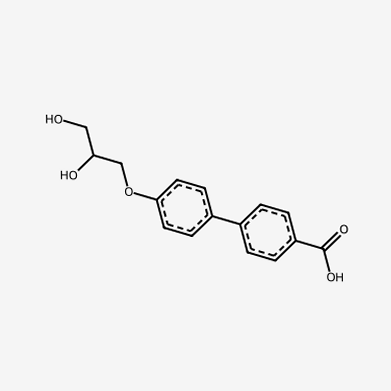 O=C(O)c1ccc(-c2ccc(OCC(O)CO)cc2)cc1